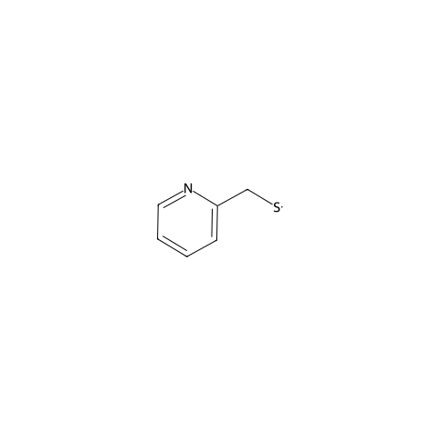 [S]Cc1ccccn1